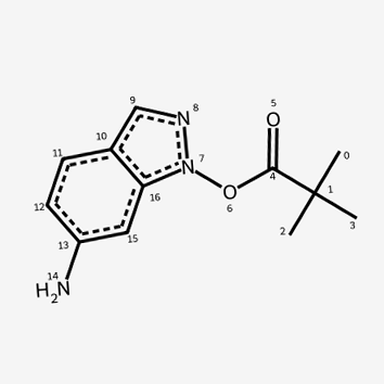 CC(C)(C)C(=O)On1ncc2ccc(N)cc21